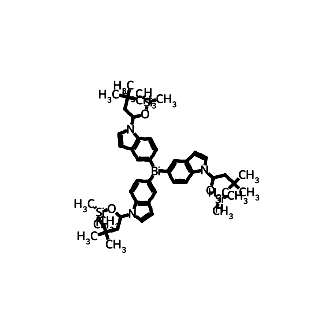 C[SiH](C)OC(CC(C)(C)C)n1ccc2c[c]([Bi]([c]3ccc4c(ccn4C(CC(C)(C)C)O[SiH](C)C)c3)[c]3ccc4c(ccn4C(CC(C)(C)C)O[SiH](C)C)c3)ccc21